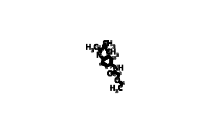 CCOCC(=O)Nc1ccc(N=C(C)N(C)C)cc1